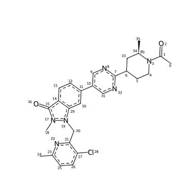 CC(=O)N1CCC(c2ncc(-c3ccc4c(=O)n(C)n(Cc5nc(C)ccc5Cl)c4c3)cn2)C[C@H]1C